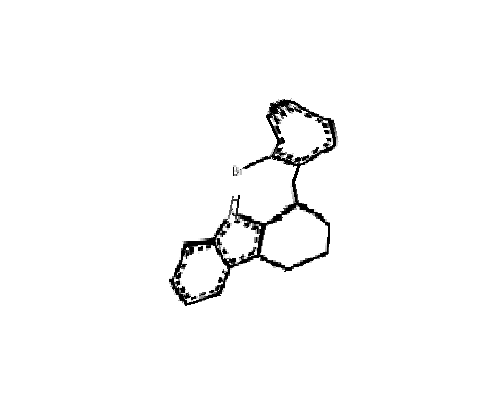 Brc1ccccc1C1CCCc2c1[nH]c1ccccc21